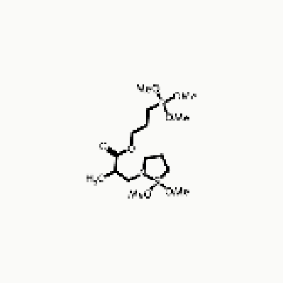 CO[Si](CCCOC(=O)C(C)CN1CCC[Si]1(OC)OC)(OC)OC